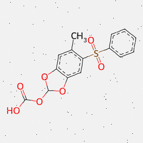 Cc1cc2c(cc1S(=O)(=O)c1ccccc1)OC(OC(=O)O)O2